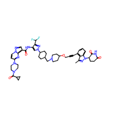 Cc1nn(C2CCC(=O)NC2=O)c2cccc(C#CCOC3CCN(CC4CCC(n5cc(NC(=O)c6cnn7ccc(N8CCN(C(=O)C9CC9)CC8)nc67)c(C(F)F)n5)CC4)CC3)c12